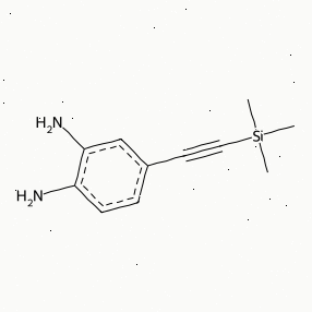 C[Si](C)(C)C#Cc1ccc(N)c(N)c1